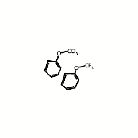 ClC(Cl)(Cl)Oc1ccccc1.FC(F)(F)Oc1ccccc1